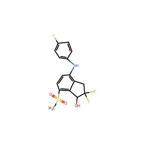 CS(=O)(=O)c1ccc(Nc2ccc(F)cc2)c2c1C(O)C(F)(F)C2